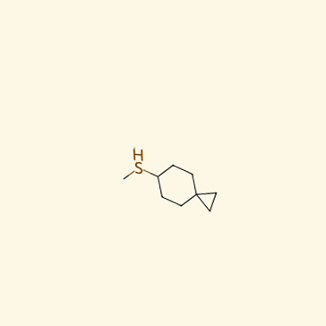 C[SH](C)C1CCC2(CC1)CC2